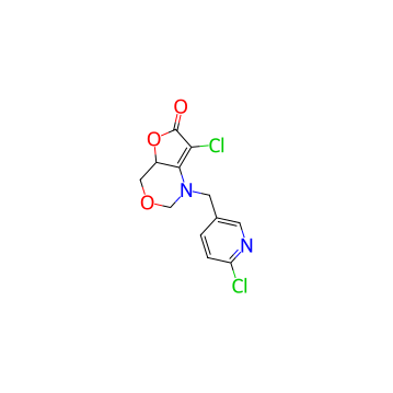 O=C1OC2COCN(Cc3ccc(Cl)nc3)C2=C1Cl